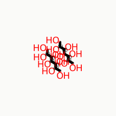 OC[C@@H](O)[C@@H](O)C(O)[C@H](O)[C@H](O)CO.OC[C@@H](O)[C@@H](O)[C@@H](O)[C@H](O)[C@@H](O)CO